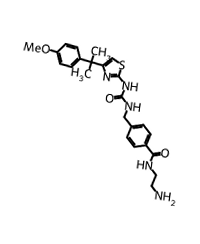 COc1ccc(C(C)(C)c2csc(NC(=O)NCc3ccc(C(=O)NCCN)cc3)n2)cc1